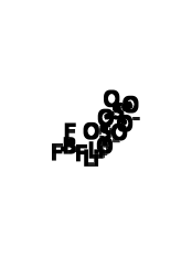 FB(F)F.O=S(=O)([O-])OS(=O)(=O)[O-].[Li+].[Li+]